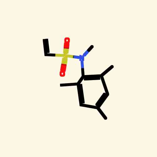 C=CS(=O)(=O)N(C)c1c(C)cc(C)cc1C